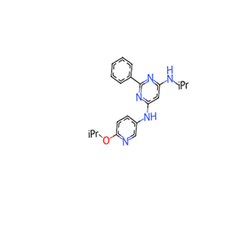 CC(C)Nc1cc(Nc2ccc(OC(C)C)nc2)nc(-c2ccccc2)n1